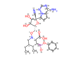 CCC(CC)CN(OC[C@H]1O[C@@](C#N)(c2ccc3[14c](N)ncnn23)[C@H](O)[C@@H]1O)[C@@H](C=[P+]([O-])Oc1ccccc1)C(=O)O